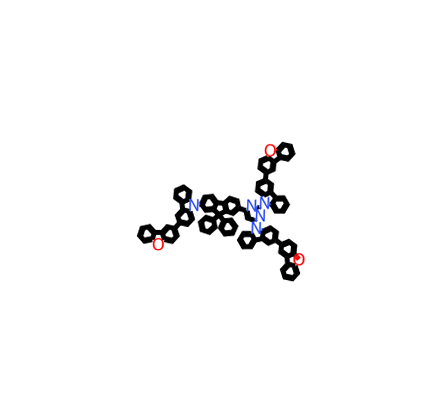 c1ccc(C2(c3ccccc3)c3cc(-c4cc(-n5c6ccccc6c6cc(-c7ccc8oc9ccccc9c8c7)ccc65)nc(-n5c6ccccc6c6cc(-c7ccc8oc9ccccc9c8c7)ccc65)n4)ccc3-c3ccc(-n4c5ccccc5c5cc(-c6ccc7oc8ccccc8c7c6)ccc54)cc32)cc1